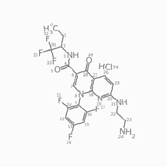 CCC(NC(=O)c1cn(-c2c(F)cc(F)cc2F)c2nc(NCCN)ccc2c1=O)C(F)(F)F.Cl